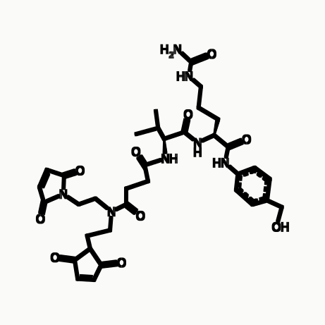 CC(C)[C@H](NC(=O)CCC(=O)N(CCC1C(=O)C=CC1=O)CCN1C(=O)C=CC1=O)C(=O)N[C@@H](CCCNC(N)=O)C(=O)Nc1ccc(CO)cc1